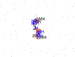 COC(=O)NC(C(=O)N1CCCC1C1=Nc2ccc(-c3cnc(-c4ccc(-c5cnc(C6CCCN6C(=O)C(NC(=O)OC)C(C)C)[nH]5)cc4)c4c3C3CCC4C3)cc2S(=O)(=O)N1)C(C)C